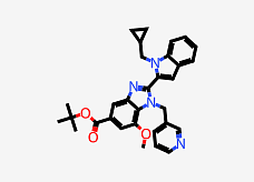 COc1cc(C(=O)OC(C)(C)C)cc2nc(-c3cc4ccccc4n3CC3CC3)n(Cc3cccnc3)c12